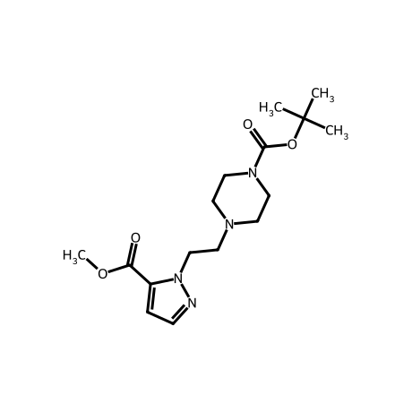 COC(=O)c1ccnn1CCN1CCN(C(=O)OC(C)(C)C)CC1